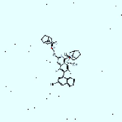 CC(C)(C)OC(=O)N1C2CCC1CN(c1nc(OCCCN3C4CCC3CS(=N)(=O)C4)nc3c(F)c(-c4cc(O)cc5ccccc45)c(Cl)cc13)C2